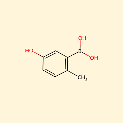 Cc1ccc(O)cc1B(O)O